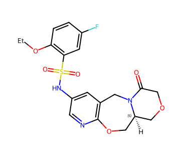 CCOc1ccc(F)cc1S(=O)(=O)Nc1cnc2c(c1)CN1C(=O)COC[C@H]1CO2